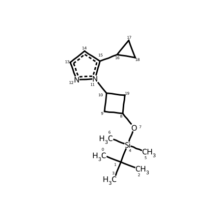 CC(C)(C)[Si](C)(C)OC1CC(n2nccc2C2CC2)C1